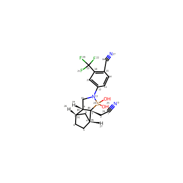 N#CC[C@@]12[C@@H]3CC[C@@H](C3)[C@@H]1CN(c1ccc(C#N)c(C(F)(F)F)c1)S2(O)O